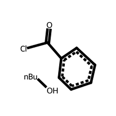 CCCCO.O=C(Cl)c1ccccc1